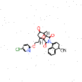 CC12OC(CCOc3ccc(Cl)cn3)(CC1=O)[C@H]1C(=O)N(c3ccc(C#N)c4ccccc34)C(=O)[C@H]12